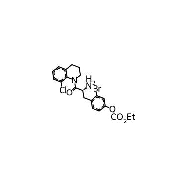 CCOC(=O)Oc1ccc(C[C@H](N)C(=O)N2CCCc3cccc(Cl)c32)c(Br)c1